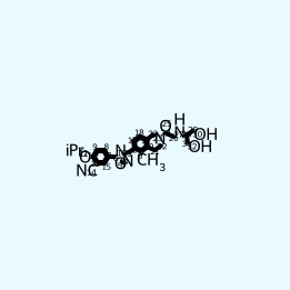 Cc1c(-c2noc(-c3ccc(OC(C)C)c(C#N)c3)n2)ccc2c1CCN(C(=O)CNC(CO)CO)C2